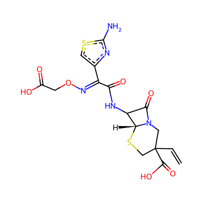 C=CC1(C(=O)O)CS[C@@H]2C(NC(=O)C(=NOCC(=O)O)c3csc(N)n3)C(=O)N2C1